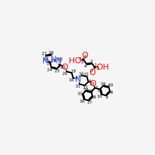 O=C(O)C=CC(=O)O.c1ccc(C(OC2CCN(CCCOc3ccc4nccn4n3)CC2)c2ccccc2)cc1